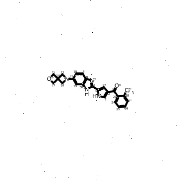 O=C(c1c[nH]c(-c2nc3ccc(N4CC5(COC5)C4)cc3[nH]2)c1)c1ccccc1C(F)(F)F